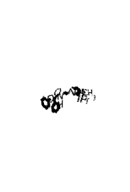 CC(C)C1N(C)C=CN1CCNC(=O)C(OC1CCCCC1)c1ccccc1